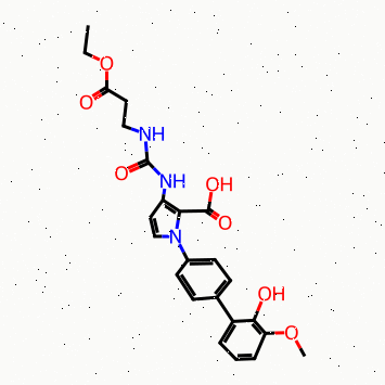 CCOC(=O)CCNC(=O)Nc1ccn(-c2ccc(-c3cccc(OC)c3O)cc2)c1C(=O)O